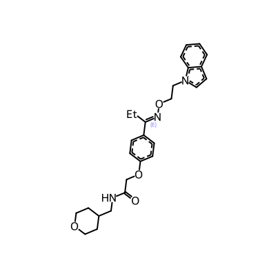 CC/C(=N\OCCn1ccc2ccccc21)c1ccc(OCC(=O)NCC2CCOCC2)cc1